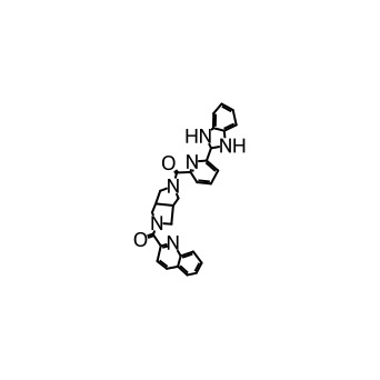 O=C(c1cccc(C2Nc3ccccc3N2)n1)N1CC2CN(C(=O)c3ccc4ccccc4n3)CC2C1